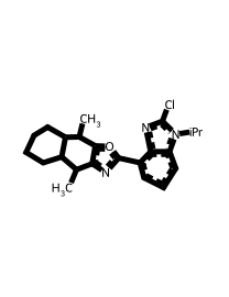 CC1c2nc(-c3cccc4c3nc(Cl)n4C(C)C)oc2C(C)C2CCCCC12